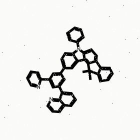 CC1(C)c2ccccc2-c2ccc3c(c21)c1cc(-c2cc(-c4ccccn4)cc(-c4cccc5cccnc45)c2)ccc1n3-c1ccccc1